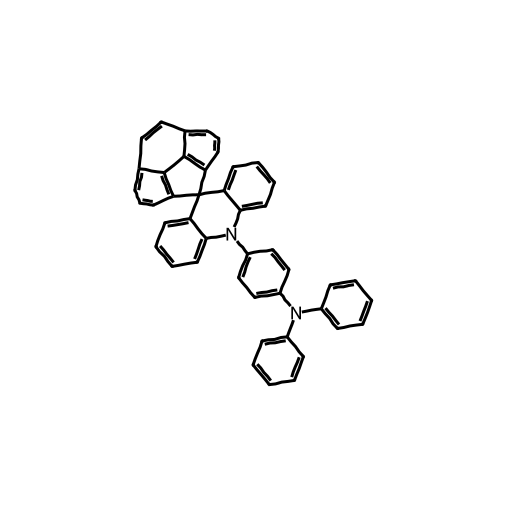 c1ccc(N(c2ccccc2)c2ccc(N3c4ccccc4C4(c5ccccc53)c3cccc5ccc6cccc4c6c35)cc2)cc1